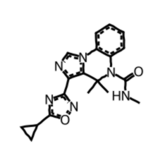 CNC(=O)N1c2ccccc2-n2cnc(-c3noc(C4CC4)n3)c2C1(C)C